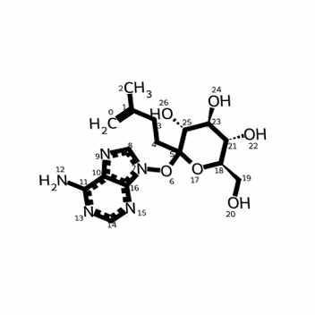 C=C(C)CCC1(On2cnc3c(N)ncnc32)O[C@H](CO)[C@@H](O)[C@H](O)[C@H]1O